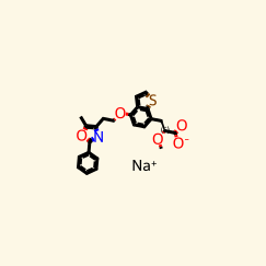 CO[C@@H](Cc1ccc(OCCc2nc(-c3ccccc3)oc2C)c2ccsc12)C(=O)[O-].[Na+]